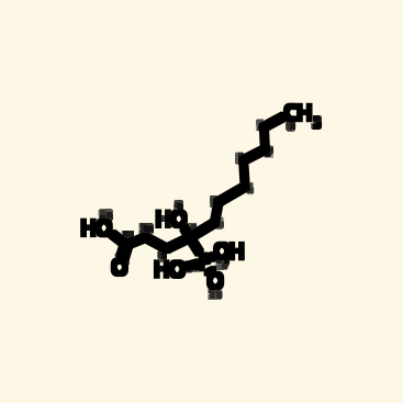 CCCCCCCC(O)(CCC(=O)O)P(=O)(O)O